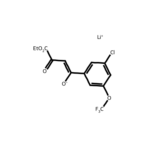 CCOC(=O)C(=O)C=C([O-])c1cc(Cl)cc(OC(F)(F)F)c1.[Li+]